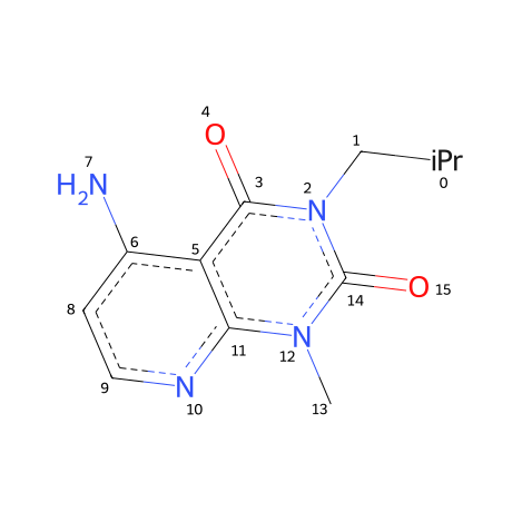 CC(C)Cn1c(=O)c2c(N)ccnc2n(C)c1=O